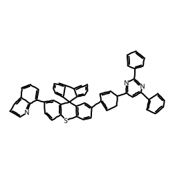 C1=CC(c2cc(-c3ccccc3)nc(-c3ccccc3)n2)CC=C1c1ccc2c(c1)C1(c3cc(-c4cccc5cccnc45)ccc3S2)c2ccccc2-c2ccccc21